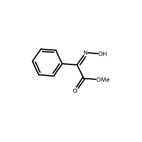 COC(=O)C(=NO)c1ccccc1